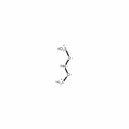 O=S(=O)(O)ONOS(=O)(=O)O